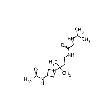 CC(=O)NC1CN(C(C)(C)CCNC(=O)CNC(C)C)C1